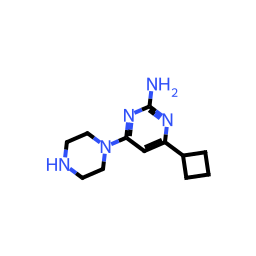 Nc1nc(C2CCC2)cc(N2CCNCC2)n1